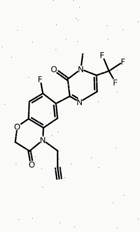 C#CCN1C(=O)COc2cc(F)c(-c3ncc(C(F)(F)F)n(C)c3=O)cc21